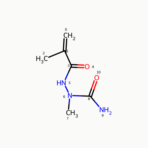 C=C(C)C(=O)NN(C)C(N)=O